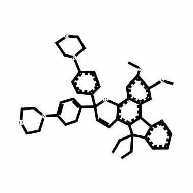 CCC1(CC)c2ccccc2-c2c1c1c(c3cc(SC)c(SC)cc23)OC(C2=CC=C(N3CCOCC3)CC2)(c2ccc(N3CCOCC3)cc2)C=C1